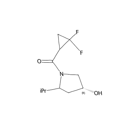 CC(C)C1C[C@@H](O)CN1C(=O)C1CC1(F)F